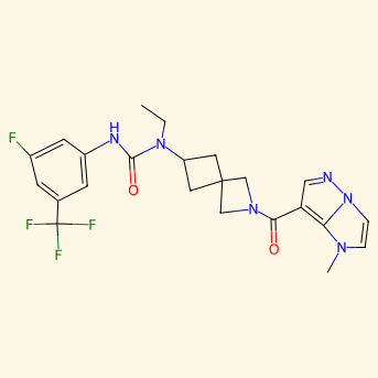 CCN(C(=O)Nc1cc(F)cc(C(F)(F)F)c1)C1CC2(C1)CN(C(=O)c1cnn3ccn(C)c13)C2